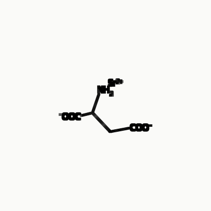 NC(CC(=O)[O-])C(=O)[O-].[Sr+2]